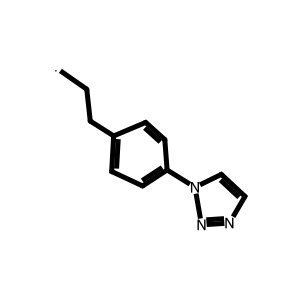 [CH2]CCc1ccc(-n2ccnn2)cc1